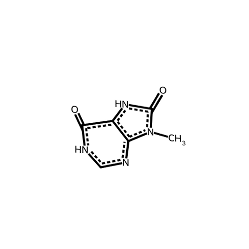 Cn1c(=O)[nH]c2c(=O)[nH]cnc21